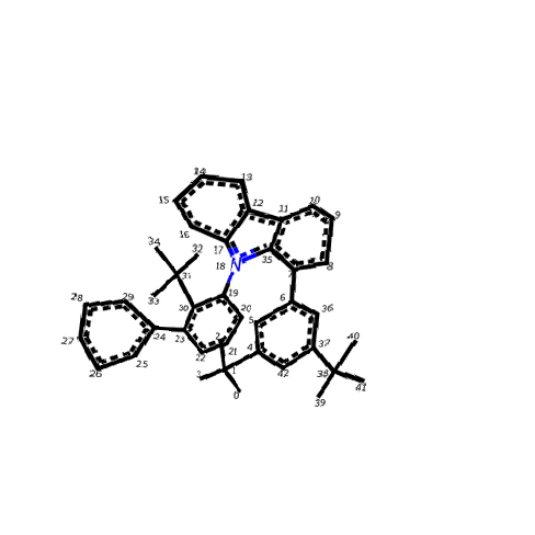 CC(C)(C)c1cc(-c2cccc3c4ccccc4n(-c4cccc(-c5ccccc5)c4C(C)(C)C)c23)cc(C(C)(C)C)c1